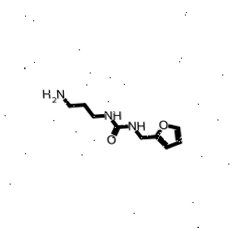 NCCCNC(=O)NCc1ccco1